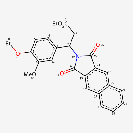 CCOC(=O)CC(c1ccc(OCC)c(OC)c1)N1C(=O)c2cc3ccccc3cc2C1=O